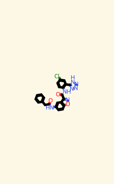 O=C(Cc1ccccc1)Nc1ccc2onc(C(=O)Nc3ccc(Cl)cc3-c3nnn[nH]3)c2c1